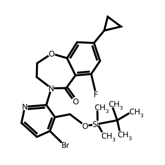 CC(C)(C)[Si](C)(C)OCc1c(Br)ccnc1N1CCOc2cc(C3CC3)cc(F)c2C1=O